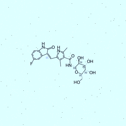 Cc1[nH]c(/C=C2\C(=O)Nc3ccc(F)cc32)c(C)c1C(=O)N[C@H]1O[C@@H](CO)[C@@H](O)[C@@H](O)[C@@H]1O